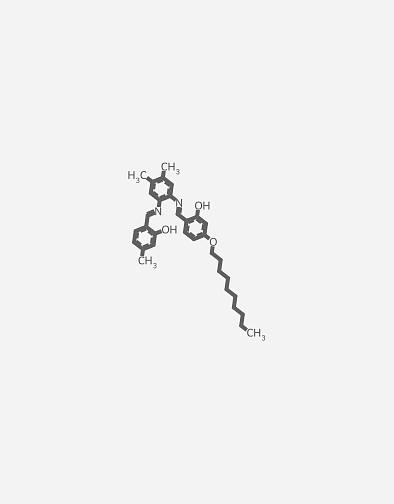 CCCCCCCCCCOc1ccc(/C=N/c2cc(C)c(C)cc2/N=C/c2ccc(C)cc2O)c(O)c1